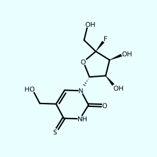 O=c1[nH]c(=S)c(CO)cn1[C@@H]1O[C@](F)(CO)[C@@H](O)[C@H]1O